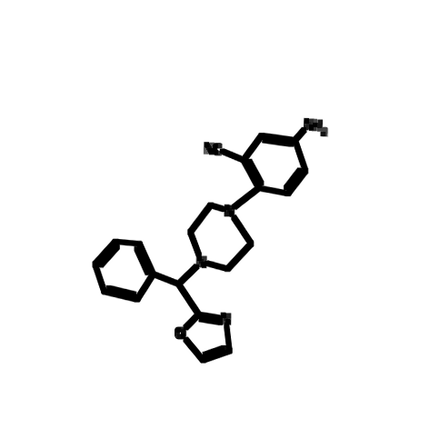 N#Cc1cc(N)ccc1N1CCN(C(c2ccccc2)c2ncco2)CC1